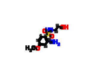 COc1ccc(S(=O)(=O)NCCO)c(N)c1